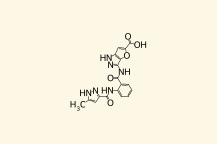 Cc1cc(C(=O)Nc2ccccc2C(=O)Nc2n[nH]c3cc(C(=O)O)oc23)n[nH]1